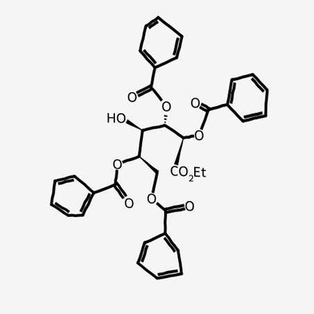 CCOC(=O)[C@H](OC(=O)c1ccccc1)[C@@H](OC(=O)c1ccccc1)[C@H](O)[C@@H](COC(=O)c1ccccc1)OC(=O)c1ccccc1